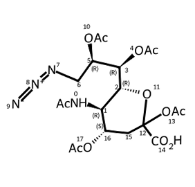 CC(=O)N[C@H]1[C@H]([C@H](OC(C)=O)[C@@H](CN=[N+]=[N-])OC(C)=O)OC(OC(C)=O)(C(=O)O)C[C@@H]1OC(C)=O